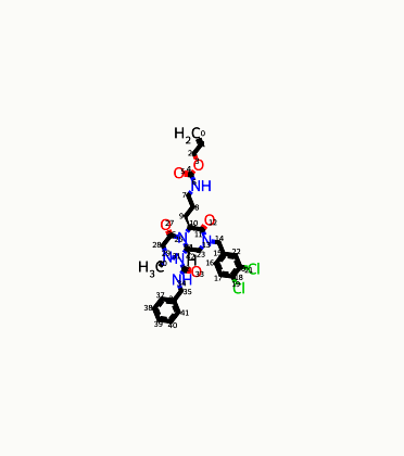 C=CCOC(=O)NCCC[C@H]1C(=O)N(Cc2ccc(Cl)c(Cl)c2)C[C@H]2N1C(=O)CN(C)N2C(=O)NCc1ccccc1